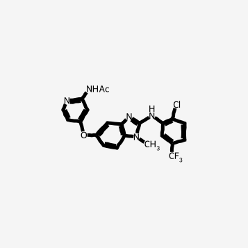 CC(=O)Nc1cc(Oc2ccc3c(c2)nc(Nc2cc(C(F)(F)F)ccc2Cl)n3C)ccn1